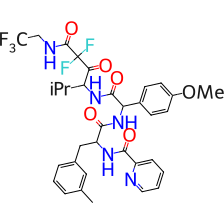 COc1ccc(C(NC(=O)C(Cc2cccc(C)c2)NC(=O)c2ccccn2)C(=O)NC(C(=O)C(F)(F)C(=O)NCC(F)(F)F)C(C)C)cc1